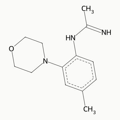 CC(=N)Nc1ccc(C)cc1N1CCOCC1